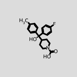 Cc1ccc([C@](O)(c2ccc(F)cc2)C2CCN(C(=O)O)CC2)cc1